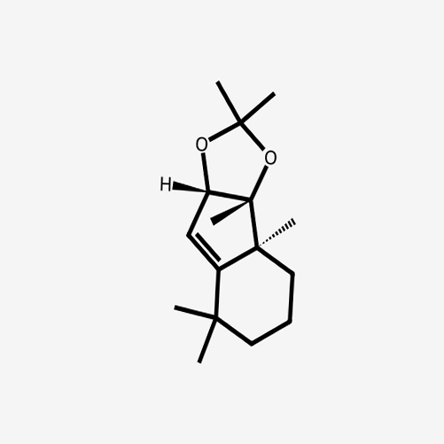 CC1(C)O[C@H]2C=C3C(C)(C)CCC[C@]3(C)[C@@]2(C)O1